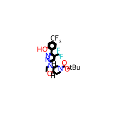 CC(C)(C)OC(=O)N1CC[C@@H]2OCCN(c3cc(C(F)F)c(-c4ccc(C(F)(F)F)cc4O)nn3)[C@@H]2C1